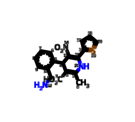 CC1=C(C(=O)O)C(c2ccccc2CN)C([N+](=O)[O-])=C(c2cccs2)N1